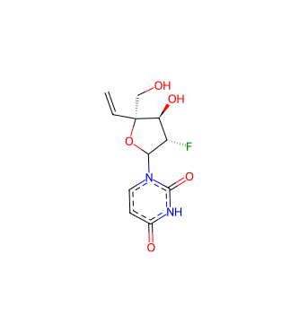 C=C[C@]1(CO)OC(n2ccc(=O)[nH]c2=O)[C@@H](F)[C@@H]1O